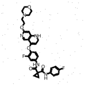 O=C(Nc1ccc(F)cc1)C1(C(=O)Nc2ccc(OC3=CCNc4cc(OCCN5CCOCC5)ncc43)c(F)c2)CC1